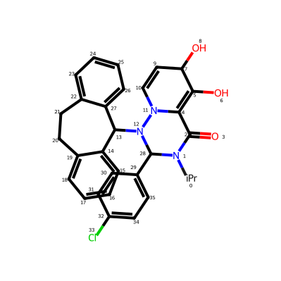 CC(C)N1C(=O)C2=C(O)C(O)C=CN2N(C2c3ccccc3CCc3ccccc32)C1c1ccc(Cl)cc1